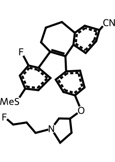 CSc1ccc(C2=C(c3ccc(OC4CCN(CCCF)C4)cc3)c3ccc(C#N)cc3CCC2)c(F)c1